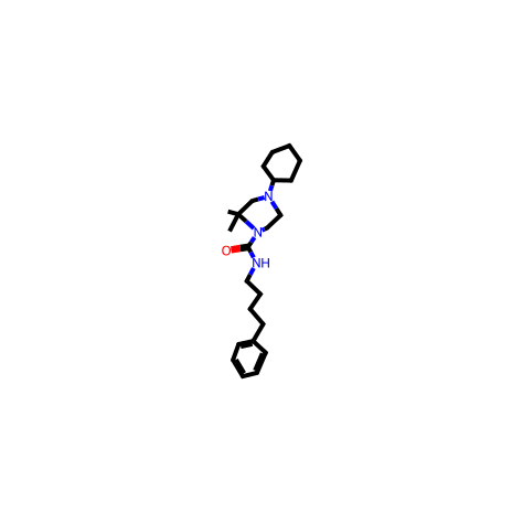 CC1(C)CN(C2CCCCC2)CCN1C(=O)NCCCCc1ccccc1